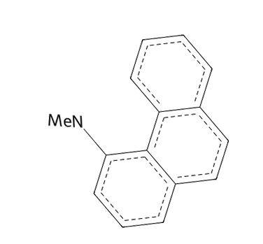 CNc1cccc2ccc3ccccc3c12